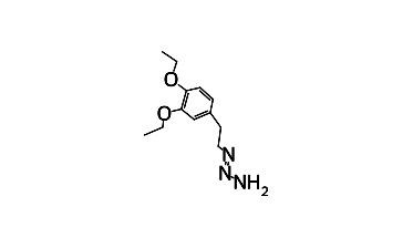 CCOc1ccc(CCN=NN)cc1OCC